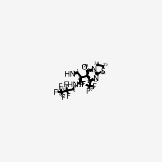 N=C/C(=C\NCC(F)(F)C(F)(F)F)c1c(C(F)(F)F)nc2n(c1=O)CCS2